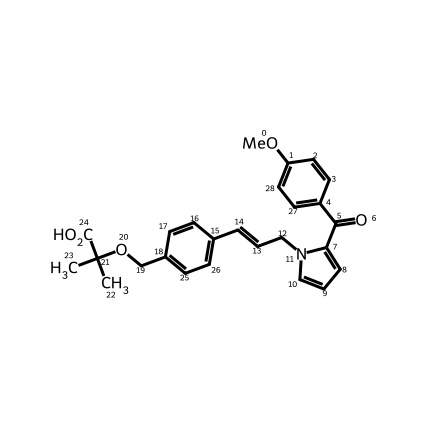 COc1ccc(C(=O)c2cccn2C/C=C/c2ccc(COC(C)(C)C(=O)O)cc2)cc1